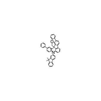 CCC1(CC)c2c(cccc2N(c2ccc(-c3ccccc3)cc2)c2ccc3c(c2)C(C)(C)c2ccccc2-3)-c2ccc3c(oc4ccccc43)c21